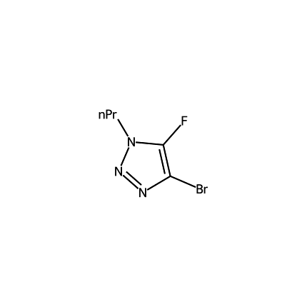 CCCn1nnc(Br)c1F